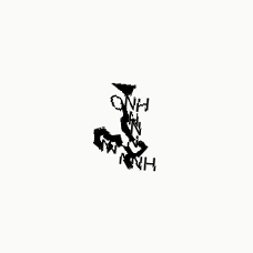 O=C(NC1CC1)c1ccc(N2CCc3[nH]cnc3[C@H]2c2cc3ccccn3n2)nn1